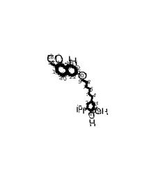 CC(C)c1cc(CCCCCCOc2ccc3cc(CC(=O)O)ccc3c2)cc(O)c1O